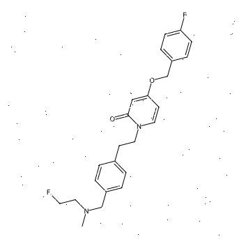 CN(CCF)Cc1ccc(CCn2ccc(OCc3ccc(F)cc3)cc2=O)cc1